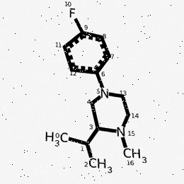 CC(C)C1CN(c2ccc(F)cc2)CCN1C